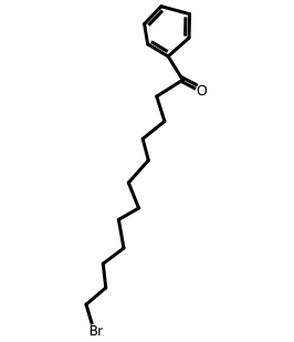 O=C(CCCCCCCCCCCBr)c1ccccc1